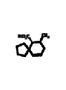 CCOC(=O)[C@@H]1[C@@H](C)CC=CC12CCCC2